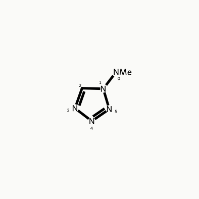 CNn1cnnn1